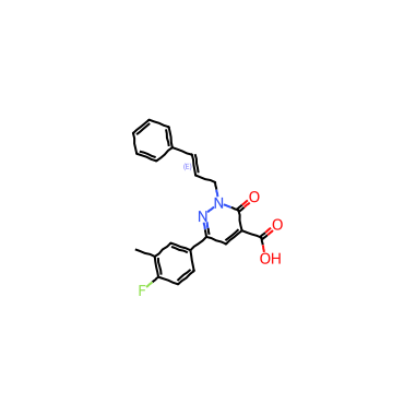 Cc1cc(-c2cc(C(=O)O)c(=O)n(C/C=C/c3ccccc3)n2)ccc1F